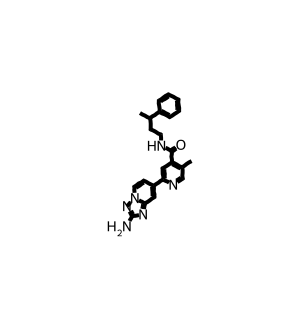 Cc1cnc(-c2ccn3nc(N)nc3c2)cc1C(=O)NCCC(C)c1ccccc1